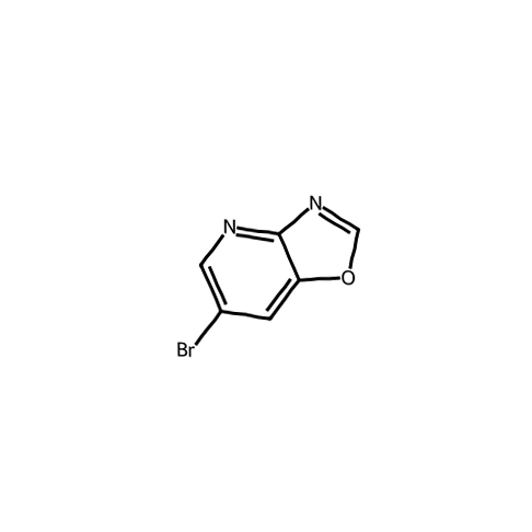 Brc1cnc2ncoc2c1